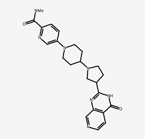 CNC(=O)c1ccc(N2CCC(N3CCC(c4nc5cnccc5c(=O)[nH]4)C3)CC2)cn1